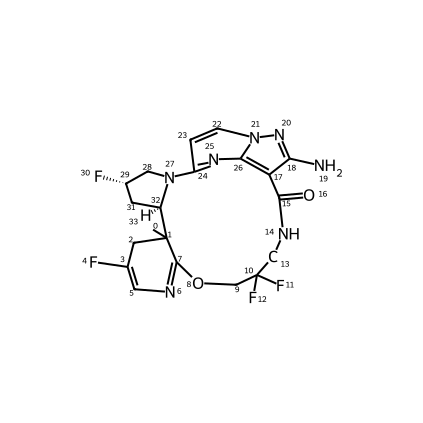 CC12CC(F)=CN=C1OCC(F)(F)CNC(=O)c1c(N)nn3ccc(nc13)N1C[C@@H](F)C[C@@H]12